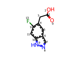 O=C(O)Cc1cc2cn[nH]c2cc1F